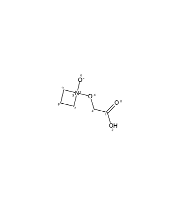 O=C(O)CO[N+]1([O-])CCC1